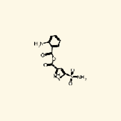 Nc1ccccc1C(=O)OC(=O)c1cc(S(N)(=O)=O)[nH]n1